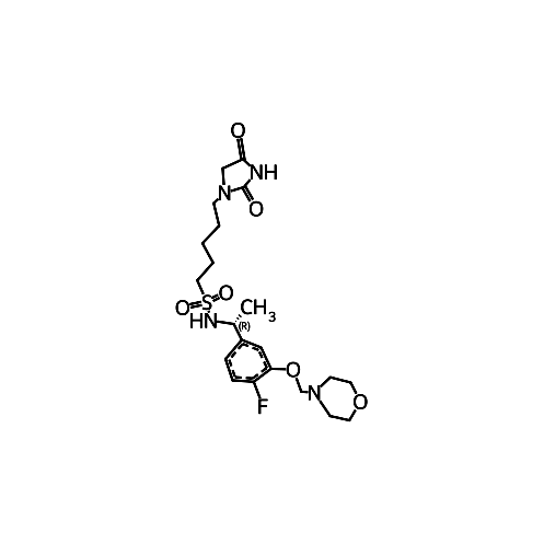 C[C@@H](NS(=O)(=O)CCCCCN1CC(=O)NC1=O)c1ccc(F)c(OCN2CCOCC2)c1